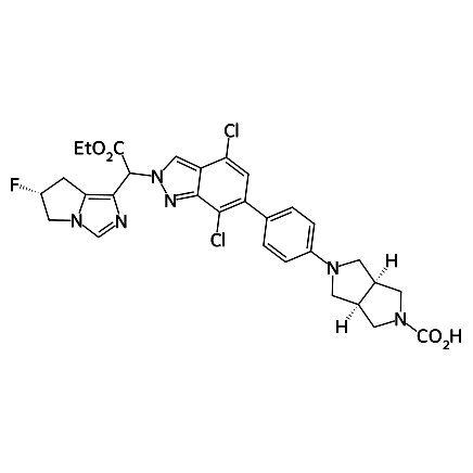 CCOC(=O)C(c1ncn2c1C[C@@H](F)C2)n1cc2c(Cl)cc(-c3ccc(N4C[C@H]5CN(C(=O)O)C[C@H]5C4)cc3)c(Cl)c2n1